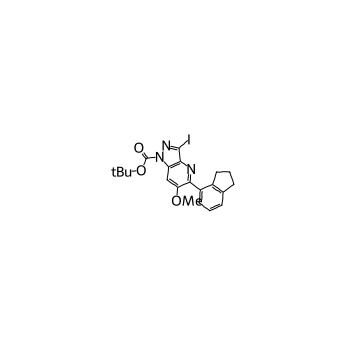 COc1cc2c(nc1-c1cccc3c1CCC3)c(I)nn2C(=O)OC(C)(C)C